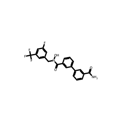 NC(=O)c1cccc(-c2cccc(C(=O)N(O)Cc3cc(F)cc(C(F)(F)F)c3)c2)c1